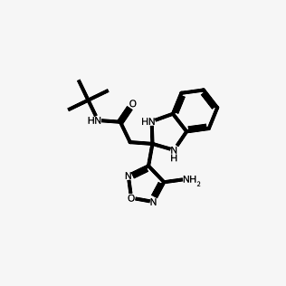 CC(C)(C)NC(=O)CC1(c2nonc2N)Nc2ccccc2N1